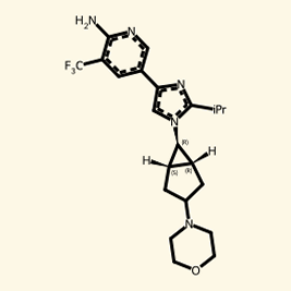 CC(C)c1nc(-c2cnc(N)c(C(F)(F)F)c2)cn1[C@H]1[C@@H]2CC(N3CCOCC3)C[C@@H]21